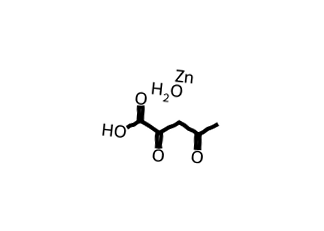 CC(=O)CC(=O)C(=O)O.O.[Zn]